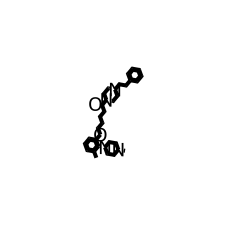 Cc1cccc(OCCCCC(=O)N2CCN(CCc3ccccc3)CC2)c1N1CCN(C)CC1